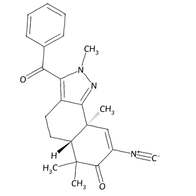 [C-]#[N+]C1=C[C@]2(C)c3nn(C)c(C(=O)c4ccccc4)c3CC[C@H]2C(C)(C)C1=O